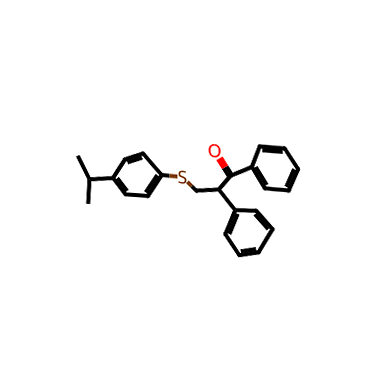 CC(C)c1ccc(SCC(C(=O)c2ccccc2)c2ccccc2)cc1